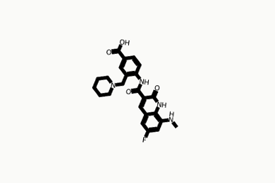 CNc1cc(F)cc2cc(C(=O)Nc3ccc(C(=O)O)cc3CN3CCCCC3)c(=O)[nH]c12